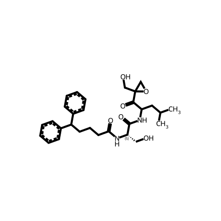 CC(C)CC(NC(=O)[C@H](CO)NC(=O)CCCC(c1ccccc1)c1ccccc1)C(=O)C1(CO)CO1